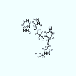 Cn1ncc(-c2nccc(N)n2)c1OCCC(C)(C)Nc1cc(Cl)ncc1C#Cc1cnn(CC(F)(F)F)c1